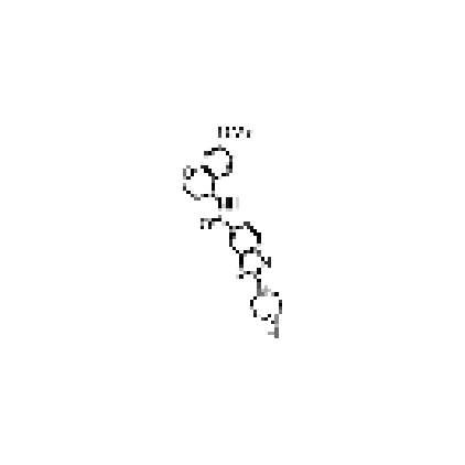 COc1ccc2c(c1)OCCC2NC(=O)c1ccc2nc(N3CCNCC3)sc2c1